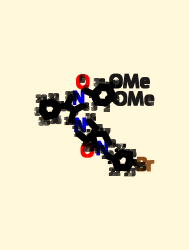 COc1ccc(C(=O)N2CC(CN3CCC4(CC3)CCN(Cc3ccc(Br)cc3)C4=O)C(c3ccccc3)C2)cc1OC